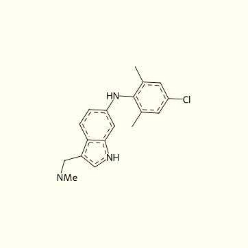 CNCc1c[nH]c2cc(Nc3c(C)cc(Cl)cc3C)ccc12